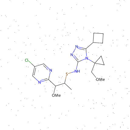 COCC1(n2c(NSC(C)C(OC)c3ncc(Cl)cn3)nnc2C2CCC2)CC1